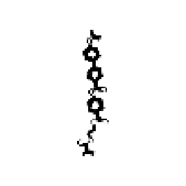 C=C(C)Oc1ccc(-c2ccc(C(=O)Oc3ccc(C(=O)OCCOC(=O)C(=C)C)cc3)cc2)cc1